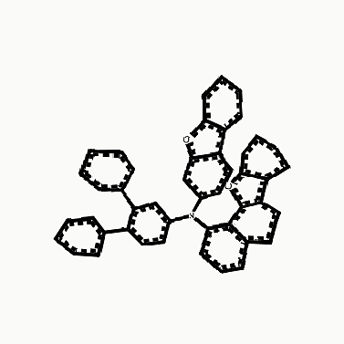 c1ccc(-c2ccc(N(c3ccc4c(c3)oc3ccccc34)c3cccc4ccc5c6ccccc6oc5c34)cc2-c2ccccc2)cc1